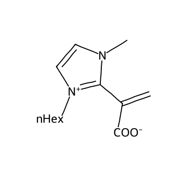 C=C(C(=O)[O-])c1n(C)cc[n+]1CCCCCC